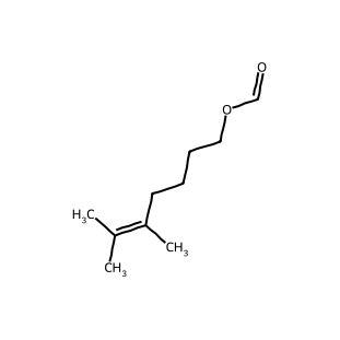 CC(C)=C(C)CCCCOC=O